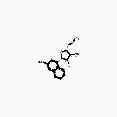 COC[C@H]1O[C@@H](c2cc(C)cc3ccccc23)[C@H](F)[C@@H]1O